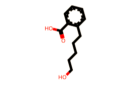 O=C(O)c1ccccc1CCCCCO